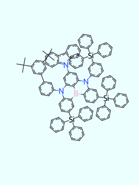 CC(C)(C)c1cc(-c2cccc(N3c4ccc([Si](c5ccccc5)(c5ccccc5)c5ccccc5)cc4B4c5ccc([Si](c6ccccc6)(c6ccccc6)c6ccccc6)cc5N(c5cccc([Si](c6ccccc6)(c6ccccc6)c6ccccc6)c5)c5cc(-n6c7ccccc7c7ccccc76)cc3c54)c2)cc(C(C)(C)C)c1